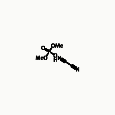 COP(=O)(O)OC.N#CC#N